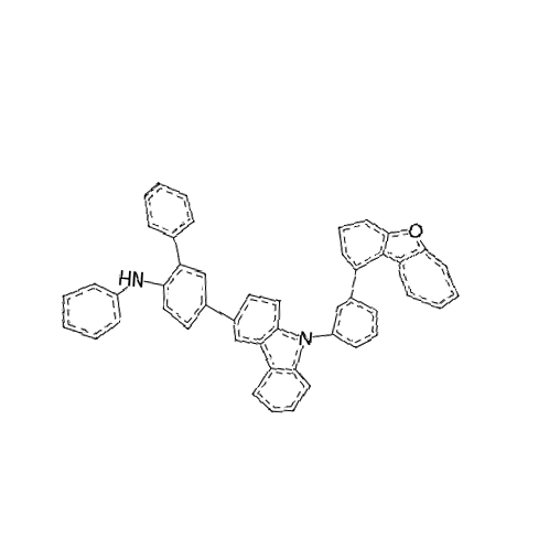 c1ccc(Nc2ccc(-c3ccc4c(c3)c3ccccc3n4-c3cccc(-c4cccc5oc6ccccc6c45)c3)cc2-c2ccccc2)cc1